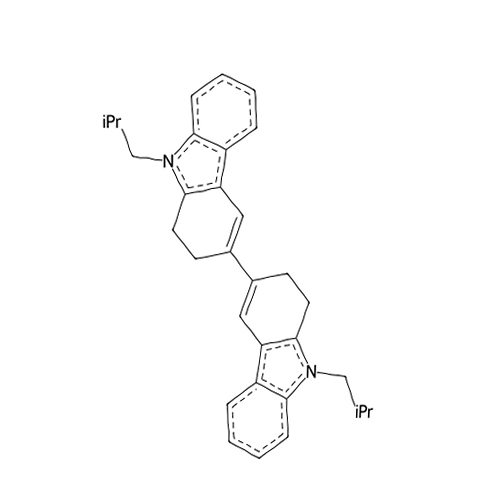 CC(C)Cn1c2c(c3ccccc31)C=C(C1=Cc3c(n(CC(C)C)c4ccccc34)CC1)CC2